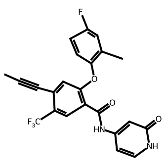 CC#Cc1cc(Oc2ccc(F)cc2C)c(C(=O)Nc2cc[nH]c(=O)c2)cc1C(F)(F)F